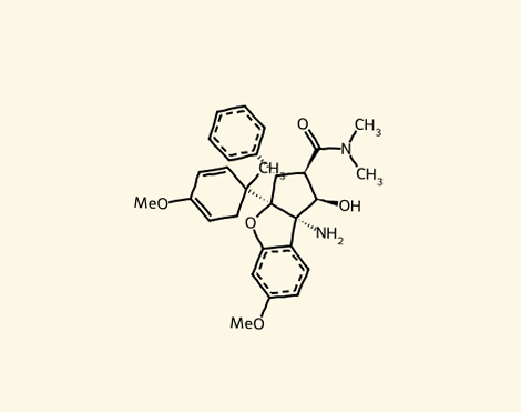 COC1=CCC(C)([C@@]23Oc4cc(OC)ccc4[C@]2(N)[C@H](O)[C@H](C(=O)N(C)C)[C@H]3c2ccccc2)C=C1